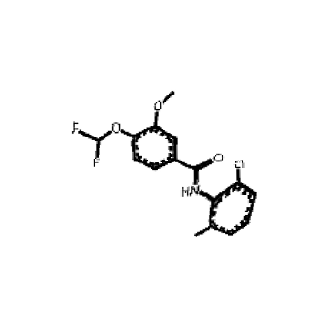 COc1cc(C(=O)Nc2c(C)cccc2Cl)ccc1OC(F)F